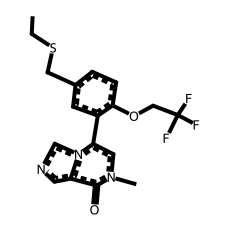 CCSCc1ccc(OCC(F)(F)F)c(-c2cn(C)c(=O)c3cncn23)c1